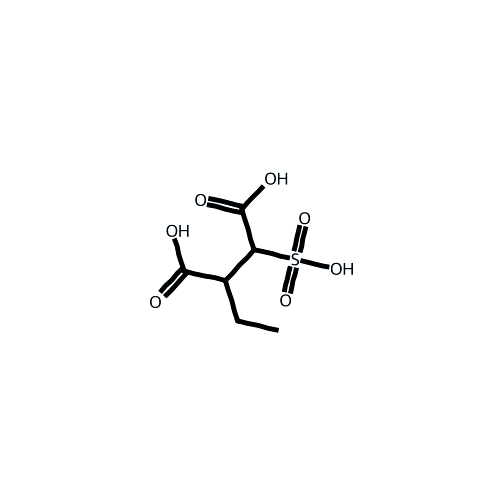 CCC(C(=O)O)C(C(=O)O)S(=O)(=O)O